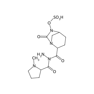 CN1CCCC1C(=O)N(N)C(=O)C1CCC2CN1C(=O)N2OS(=O)(=O)O